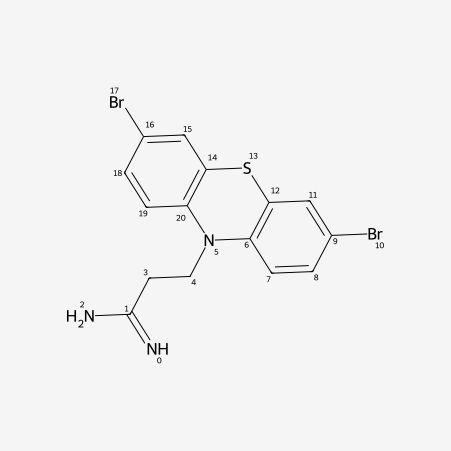 N=C(N)CCN1c2ccc(Br)cc2Sc2cc(Br)ccc21